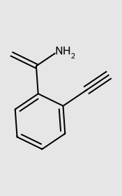 C#Cc1ccccc1C(=C)N